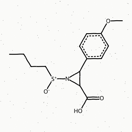 CCCC[S+]([O-])N1C(C(=O)O)C1c1ccc(OC)cc1